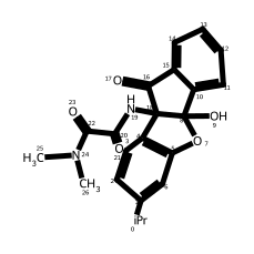 CC(C)c1ccc2c(c1)OC1(O)c3ccccc3C(=O)C21NC(=O)C(=O)N(C)C